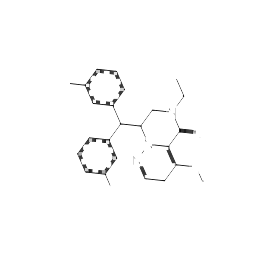 CCN1CC(C(c2cccc(F)c2)c2cccc(F)c2)N2N=CCC(OI)=C2C1=O